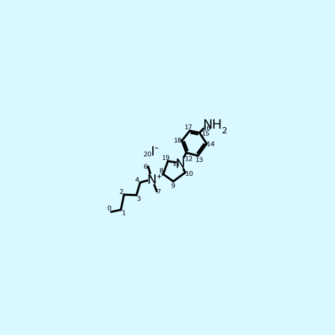 CCCCC[N+](C)(C)C1CCN(c2ccc(N)cc2)C1.[I-]